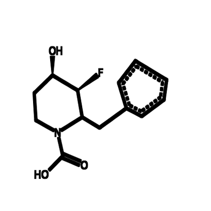 O=C(O)N1CC[C@@H](O)[C@@H](F)C1Cc1ccccc1